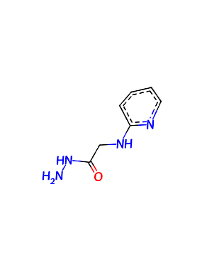 NNC(=O)CNc1ccccn1